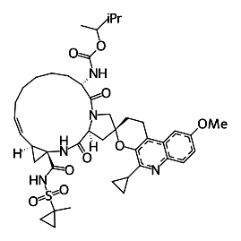 COc1ccc2nc(C3CC3)c3c(c2c1)CC[C@]1(C[C@H]2C(=O)N[C@]4(C(=O)NS(=O)(=O)C5(C)CC5)C[C@H]4/C=C\CCCCC[C@H](NC(=O)OC(C)C(C)C)C(=O)N2C1)O3